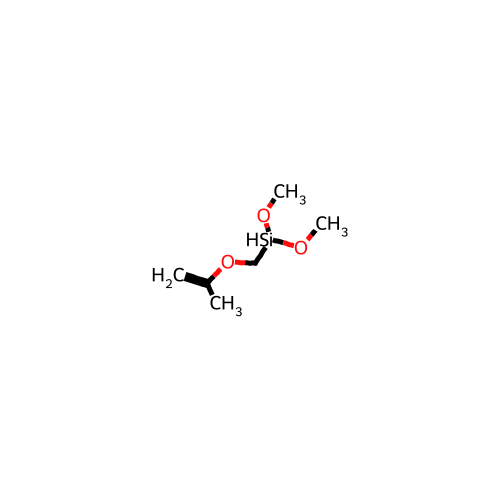 C=C(C)OC[SiH](OC)OC